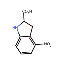 O=C(O)C1Cc2c(cccc2[N+](=O)[O-])N1